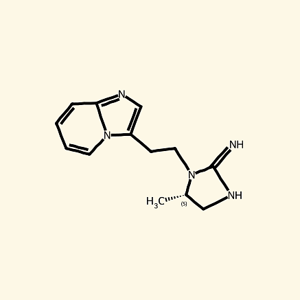 C[C@H]1CNC(=N)N1CCc1cnc2ccccn12